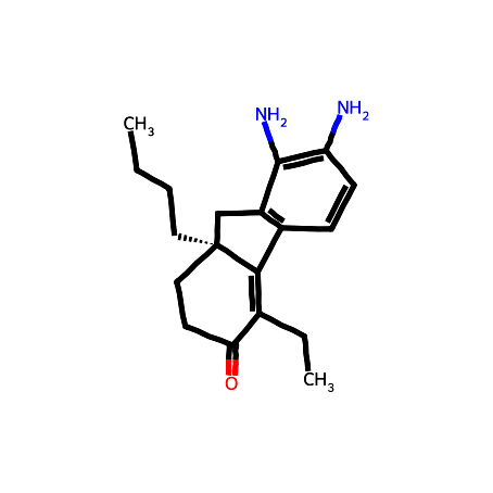 CCCC[C@@]12CCC(=O)C(CC)=C1c1ccc(N)c(N)c1C2